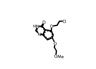 COCCOc1cc(OCCCl)c2c(=O)[nH]cnc2c1